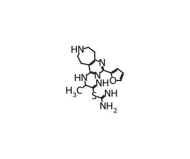 CC(Nc1nc(-c2ccco2)nc2c1CCNCC2)C(=N)SC(=N)N